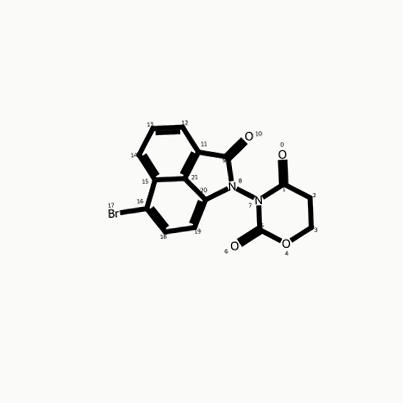 O=C1CCOC(=O)N1N1C(=O)c2cccc3c(Br)ccc1c23